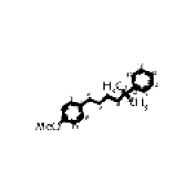 COc1ccc(CCCCC(C)(C)c2ccccc2)cc1